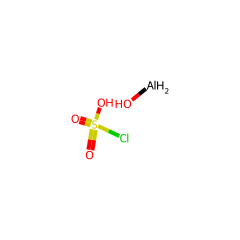 O=S(=O)(O)Cl.[OH][AlH2]